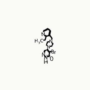 CCc1ncccc1CN1CCN(c2cn[nH]c(=O)c2Br)CC1